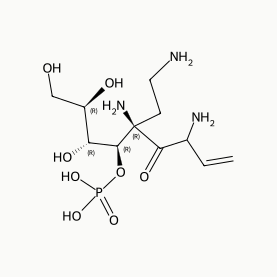 C=CC(N)C(=O)[C@@](N)(CCN)[C@@H](OP(=O)(O)O)[C@H](O)[C@H](O)CO